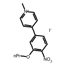 CCCOc1cc(-c2cc[n+](C)cc2)ccc1[N+](=O)[O-].[I-]